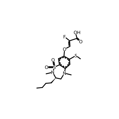 CCCC[C@@H]1CN(C)c2cc(SC)c(O/C=C(\F)C(=O)O)cc2S(=O)(=O)N1C